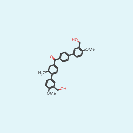 COc1ccc(C2=CC=C(C(=O)c3ccc(-c4ccc(OC)c(CO)c4)cc3)CC2C)cc1CO